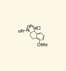 CCCN(CCC)C1CCc2c(OC)cccc2C1C.Cl